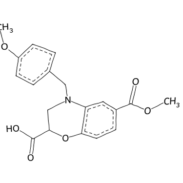 COC(=O)c1ccc2c(c1)N(Cc1ccc(OC)cc1)CC(C(=O)O)O2